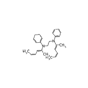 C/C=C\C=C(/C)N(CCN(/C(C)=C/C=C\C)c1ccccc1)C1=CCCC=C1